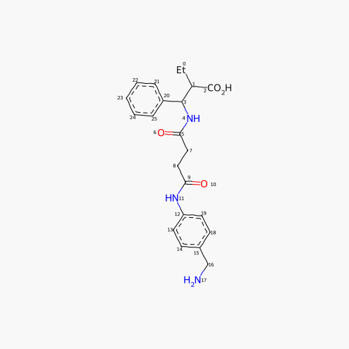 CCC(C(=O)O)C(NC(=O)CCC(=O)Nc1ccc(CN)cc1)c1ccccc1